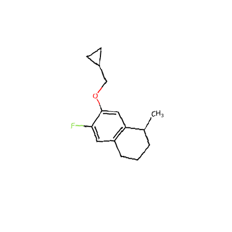 CC1CCCc2cc(F)c(OCC3CC3)cc21